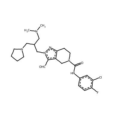 CN(C)CC(CN1CCCC1)Cn1nc2c(c1C=O)CN(C(=O)Nc1ccc(F)c(Cl)c1)CC2